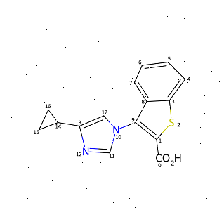 O=C(O)c1sc2ccccc2c1-n1cnc(C2CC2)c1